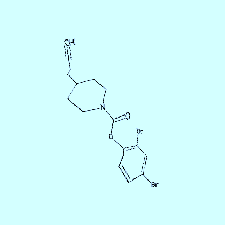 C#CCC1CCN(C(=O)Oc2ccc(Br)cc2Br)CC1